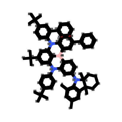 Cc1cc(C)c2c(c1)C1(C)CCCCC1(C)N2c1ccc2c(c1)N(c1ccc(C(C)(C)C)cc1)c1cc(C(C)(C)C)cc3c1B2c1cc(-c2ccccc2)ccc1N3c1ccc(C(C)(C)C)cc1-c1ccccc1